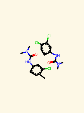 CN(C)C(=O)Nc1ccc(Cl)c(Cl)c1.Cc1ccc(NC(=O)N(C)C)cc1Cl